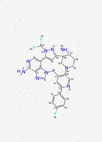 Nc1nccc2c1ncn2Cc1cc(-c2ccc(F)cc2)ncc1N1CCC[C@](N)(c2ccn(C(F)F)n2)C1